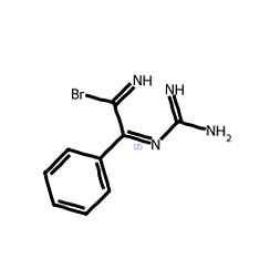 N=C(N)/N=C(\C(=N)Br)c1ccccc1